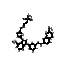 CS(=O)(=O)CCNCc1ccc(-c2cn(-c3cncc(COc4ccc5ccc(N)nc5c4)c3)c3ncnc(N)c23)o1